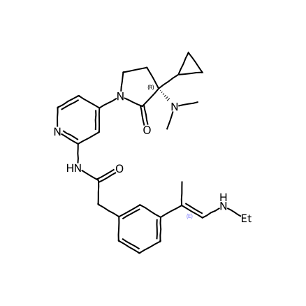 CCN/C=C(\C)c1cccc(CC(=O)Nc2cc(N3CC[C@](C4CC4)(N(C)C)C3=O)ccn2)c1